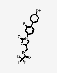 O=C1OC(CNC(=O)C(F)(F)S)CN1c1ccc(C2CCC(O)CC2)c(F)c1